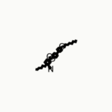 CCCCCCCCOc1ccc(-c2ccc(OC(=O)c3ccc(CCCCCC)c(C#N)c3)cc2)cc1